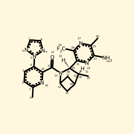 Cc1ccc(-n2nccn2)c(C(=O)N2C3CC(C3)[C@H](C)[C@@H]2c2nc(N)c(C)nc2C(F)(F)F)n1